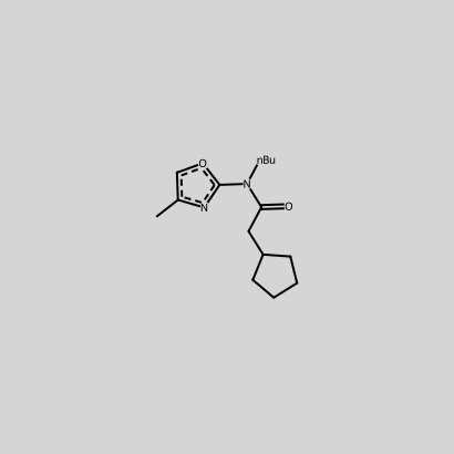 CCCCN(C(=O)CC1CCCC1)c1nc(C)co1